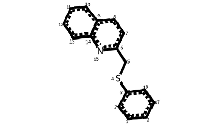 c1ccc(SCc2ccc3ccccc3n2)cc1